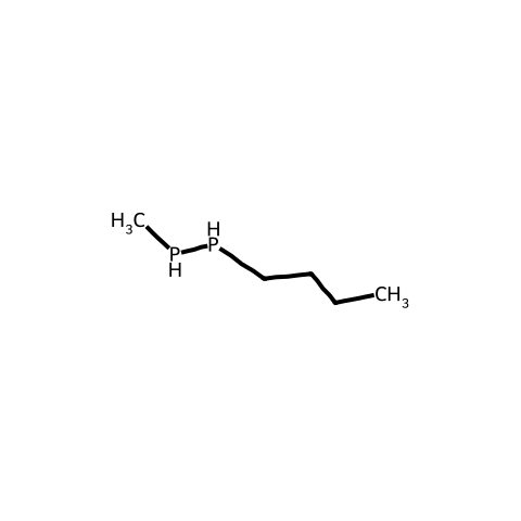 CCCCPPC